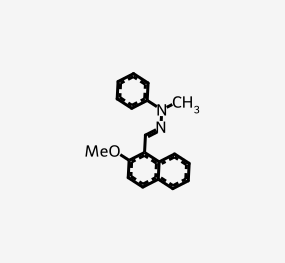 COc1ccc2ccccc2c1C=NN(C)c1ccccc1